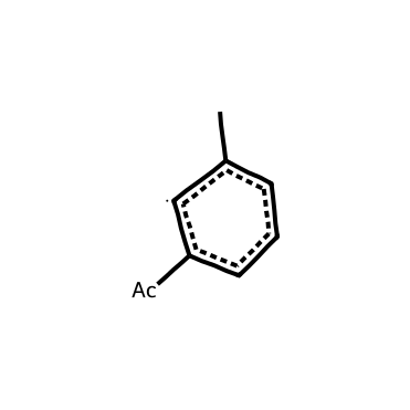 CC(=O)c1[c]c(C)ccc1